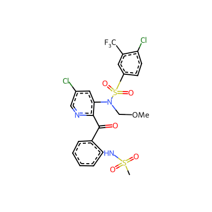 COCN(c1cc(Cl)cnc1C(=O)c1ccccc1NS(C)(=O)=O)S(=O)(=O)c1ccc(Cl)c(C(F)(F)F)c1